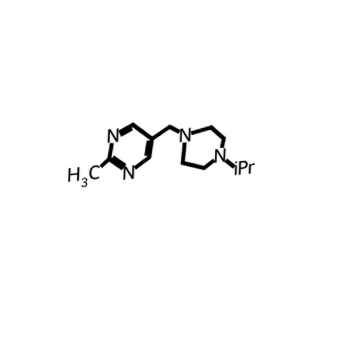 Cc1ncc(CN2CCN(C(C)C)CC2)cn1